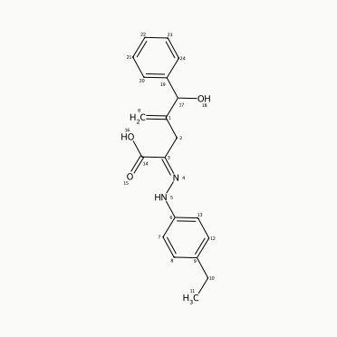 C=C(CC(=NNc1ccc(CC)cc1)C(=O)O)C(O)c1ccccc1